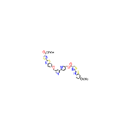 COC(=O)C1CSC(c2nc3ccc(OCc4cncc(-c5ccc(COC(=O)C6CSC(c7nc8ccc(OC)cc8s7)=N6)cn5)c4)cc3s2)=N1